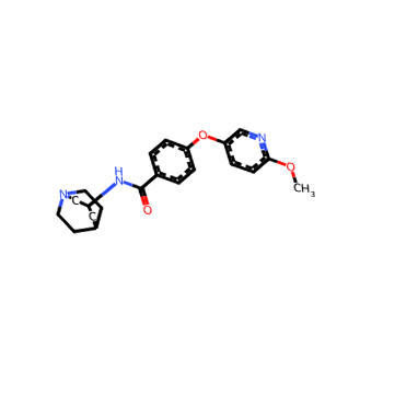 COc1ccc(Oc2ccc(C(=O)NC3CC4CCN(CC4)C3)cc2)cn1